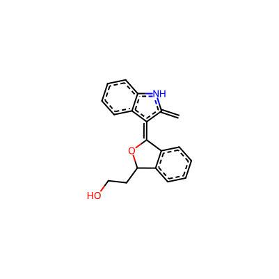 C=c1[nH]c2ccccc2/c1=C1\OC(CCO)c2ccccc21